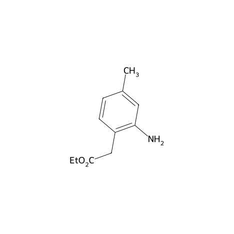 CCOC(=O)Cc1ccc(C)cc1N